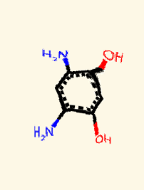 Nc1cc(N)c(O)cc1O